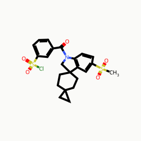 CS(=O)(=O)c1ccc2c(c1)C1(CCC3(CC3)CC1)CN2C(=O)c1cccc(S(=O)(=O)Cl)c1